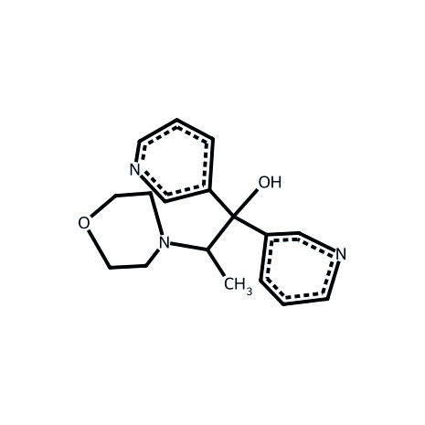 CC(N1CCOCC1)C(O)(c1cccnc1)c1cccnc1